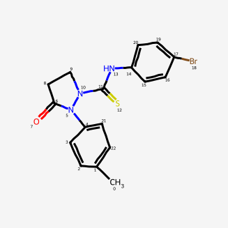 Cc1ccc(N2C(=O)CCN2C(=S)Nc2ccc(Br)cc2)cc1